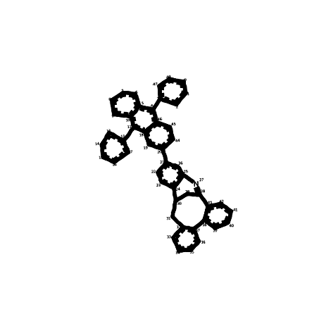 c1ccc(-c2c3ccccc3c(-c3ccccc3)c3cc(-c4ccc5c(c4)N=C4CC5Cc5ccccc5-c5ccccc54)ccc23)cc1